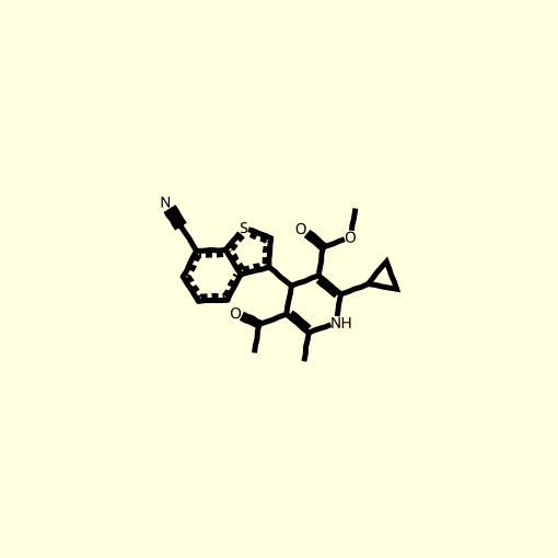 COC(=O)C1=C(C2CC2)NC(C)=C(C(C)=O)C1c1csc2c(C#N)cccc12